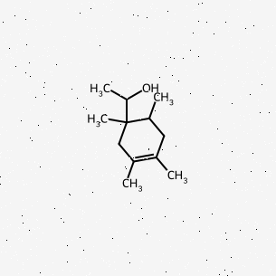 CC1=C(C)CC(C)(C(C)O)C(C)C1